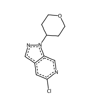 Clc1cc2cnn(C3CCOCC3)c2cn1